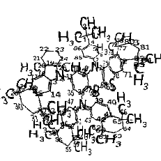 CC(C)(C)c1ccc(N2c3cc(N4c5cc6c(cc5C5(C)CCCCC45C)C(C)(C)CCC6(C)C)cc4c3B(c3cc5c(cc3N4c3ccc4c(c3)C(C)(C)CCC4(C)C)C(C)(C)CCC5(C)C)c3sc4cc5c(cc4c32)C(C)(C)CCC5(C)C)cc1